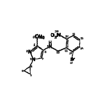 COc1nn(C2CC2)cc1NCc1c(Br)cccc1[N+](=O)[O-]